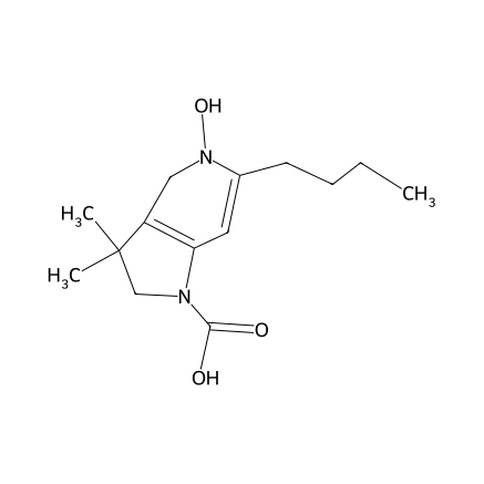 CCCCC1=CC2=C(CN1O)C(C)(C)CN2C(=O)O